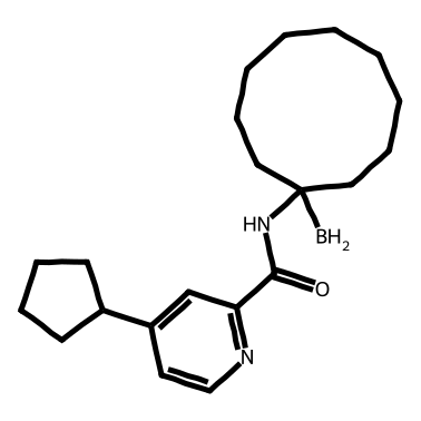 BC1(NC(=O)c2cc(C3CCCC3)ccn2)CCCCCCCCC1